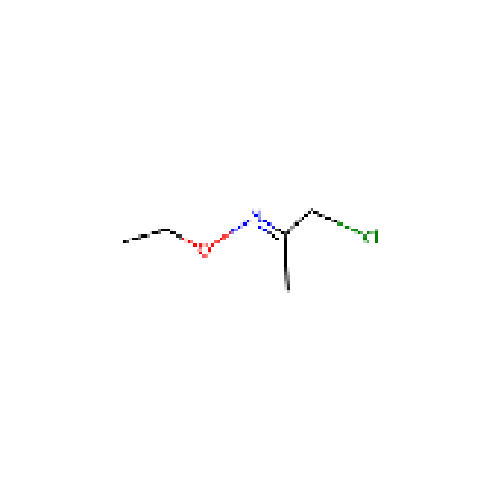 CCO/N=C(\C)CCl